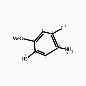 COc1cc(F)c(N)cc1S